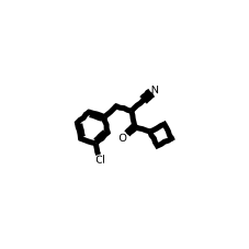 N#CC(Cc1cccc(Cl)c1)C(=O)C1CCC1